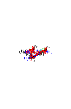 CC(C)Oc1ccc(C(=O)NC(CNC(=O)C(C)(C)N)Cc2ccc(-c3cn4cccc(Br)c4n3)cc2)cc1C#N.CCn1cc(-c2ccc(CC(CCO)c3c(C(N)=O)ccc(OC(C)C)c3Cl)cc2)nc1C(C)NC=O.CCn1cc(-c2ccc(CC(CCO)c3c(C(N)=O)ccc(OC(C)C)c3Cl)cc2F)nc1C(C)(C)O